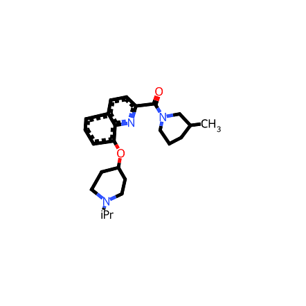 CC1CCCN(C(=O)c2ccc3cccc(OC4CCN(C(C)C)CC4)c3n2)C1